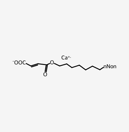 CCCCCCCCCCCCCCCCOC(=O)C=CC(=O)[O-].[Ca+]